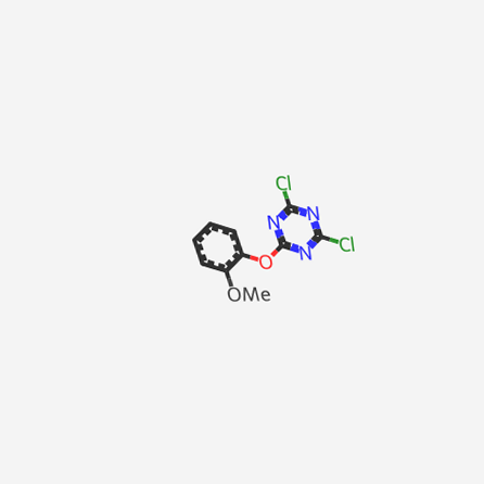 COc1ccccc1Oc1nc(Cl)nc(Cl)n1